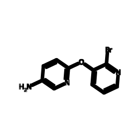 Nc1ccc(Oc2cccnc2Br)nc1